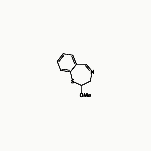 COC1CN=Cc2ccccc2S1